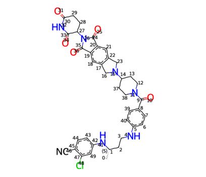 C[C@@H](CCNc1ccc(C(=O)N2CCC(N3Cc4cc5c(cc4C3)C(=O)N(C3CCC(=O)NC3=O)C5=O)CC2)cc1)Nc1ccc(C#N)c(Cl)c1